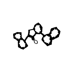 O=C1c2c(cccc2-c2cccc3ccccc23)CC1c1cccc2ccccc12